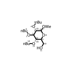 CCCCOC1[C@H](OCCCC)C(OC)OC(CO)[C@@H]1OCCCC